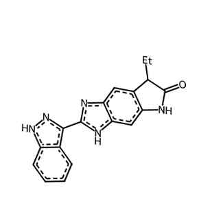 CCC1C(=O)Nc2cc3[nH]c(-c4n[nH]c5ccccc45)nc3cc21